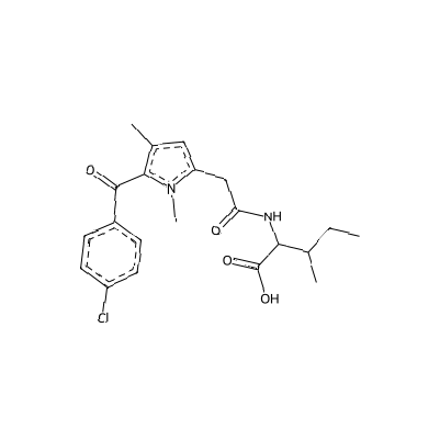 CCC(C)C(NC(=O)Cc1cc(C)c(C(=O)c2ccc(Cl)cc2)n1C)C(=O)O